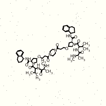 CN[C@@H](C)C(=O)NC(C(=O)N1C[C@@H](OCCC(=O)N2CCN(C(=O)CCO[C@H]3C[C@@H](C(=O)N[C@@H]4CCCc5ccccc54)N(C(=O)C(NC(=O)[C@H](C)NC)C(C)C)C3)CC2)C[C@H]1C(=O)N[C@@H]1CCCc2ccccc21)C(C)C